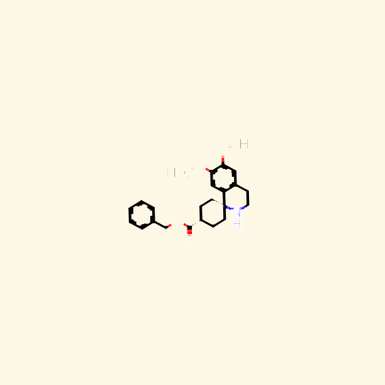 COc1cc2c(cc1OC)[C@]1(CC[C@H](C(=O)OCc3ccccc3)CC1)NCC2